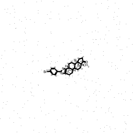 C[C@]12CCc3nc(-c4ccc(Br)cc4)sc3[C@@H]1CC[C@@H]1[C@@H]2CC[C@]2(C)C(=O)CC[C@@H]12